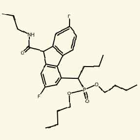 CCCCOP(=O)(OCCCC)C(CCC)c1cc(F)cc2c1-c1ccc(F)cc1C2C(=O)NCCC